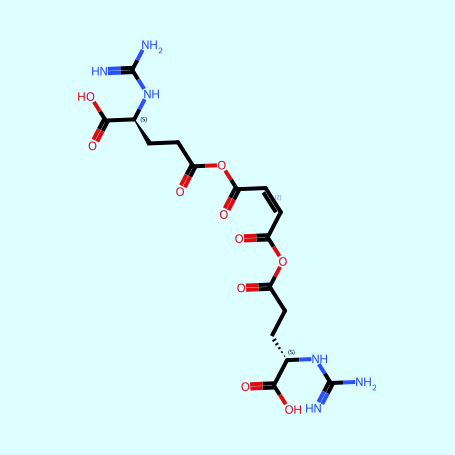 N=C(N)N[C@@H](CCC(=O)OC(=O)/C=C\C(=O)OC(=O)CC[C@H](NC(=N)N)C(=O)O)C(=O)O